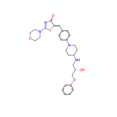 O=C1N=C(N2CCOCC2)SC1=Cc1ccc(N2CCC(NC[C@H](O)COc3ccccc3)CC2)cc1